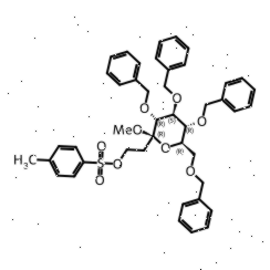 CO[C@]1(CCOS(=O)(=O)c2ccc(C)cc2)O[C@H](COCc2ccccc2)[C@@H](OCc2ccccc2)[C@H](OCc2ccccc2)[C@H]1OCc1ccccc1